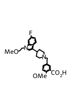 COCCn1cc(C2CCN(Cc3ccc(OC)c(C(=O)O)c3)CC2)c2ccc(F)cc21